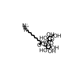 [N-]=[N+]=NCCCCCCCCCC(=O)OCC1O[C@H](O[C@H]2OC(CO)[C@@H](O)C(O)C2O)C(O)C(O)[C@@H]1O